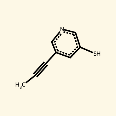 CC#Cc1cncc(S)c1